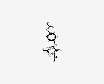 CNNC(=O)[C@@H](Cc1ccc(OC(C)C)cc1)NC(C)=O